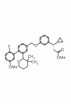 COC(=O)C[C@H](c1cccc(OCc2ccc(-c3cc(OC)ccc3F)c(C3OCCCC3(C)C)c2)c1)C1CC1